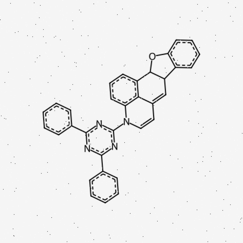 C1=CN(c2nc(-c3ccccc3)nc(-c3ccccc3)n2)c2cccc3c2C1=CC1c2ccccc2OC31